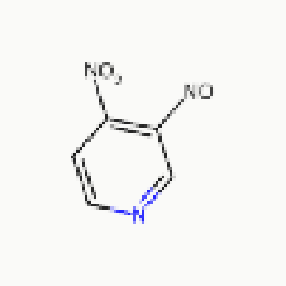 O=Nc1cnccc1[N+](=O)[O-]